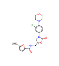 O=Cc1ccc(C(=O)NC[C@H]2CN(c3ccc(N4CCOCC4)c(F)c3)C(=O)O2)o1